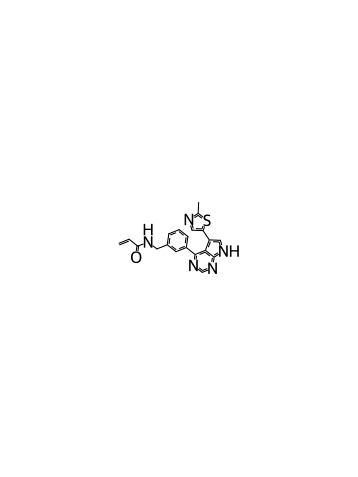 C=CC(=O)NCc1cccc(-c2ncnc3[nH]cc(-c4cnc(C)s4)c23)c1